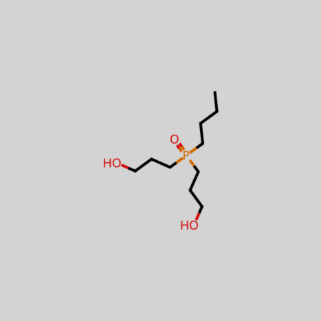 CCCCP(=O)(CCCO)CCCO